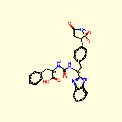 O=C1CC(c2ccc(C[C@H](NC(=O)N[C@@H](Cc3ccccc3)C(=O)O)c3nc4ccccc4[nH]3)cc2)S(=O)(=O)N1